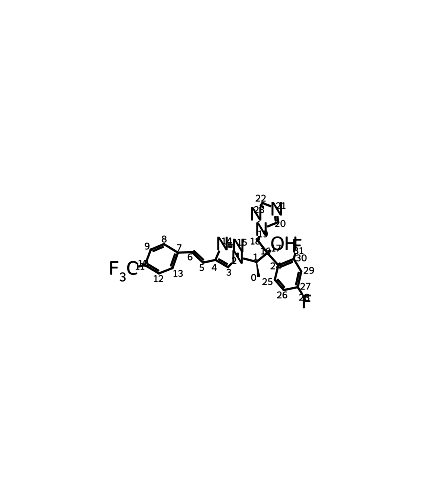 C[C@@H](n1cc(/C=C/c2ccc(C(F)(F)F)cc2)nn1)[C@](O)(Cn1cncn1)c1ccc(F)cc1F